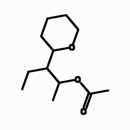 CCC(C(C)OC(C)=O)C1CCCCO1